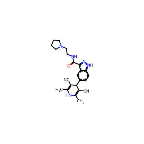 CC1=C(C#N)C(c2ccc3[nH]nc(C(=O)NCCN4CCCC4)c3c2)C(C#N)=C(C)N1